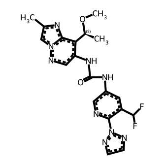 CO[C@@H](C)c1c(NC(=O)Nc2cnc(-n3nccn3)c(C(F)F)c2)cnn2cc(C)nc12